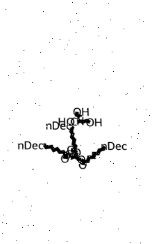 CCCCCCCCCCCCCCCCCC(=O)OCC(COC(=O)CCCCCCCCCCCCCCCCC)OC(=O)CCCCCCCCCCCCCCCCC.OCCN(CCO)CCO